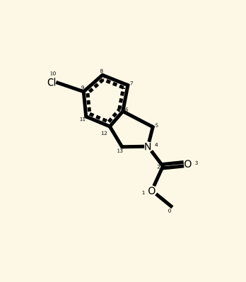 COC(=O)N1Cc2ccc(Cl)cc2C1